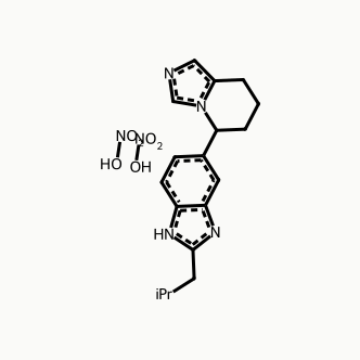 CC(C)Cc1nc2cc(C3CCCc4cncn43)ccc2[nH]1.O=[N+]([O-])O.O=[N+]([O-])O